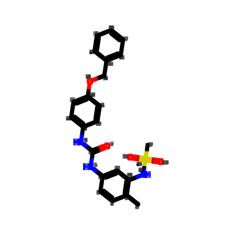 Cc1ccc(NC(=O)Nc2ccc(OCc3ccccc3)cc2)cc1NS(C)(=O)=O